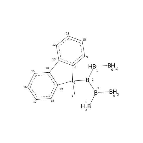 BBB(B(B)B)C1(C)c2ccccc2-c2ccccc21